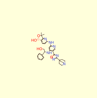 CC1(C)OB(O)c2ccc(Nc3cc(NC(CO)c4ccccc4)c(-c4nc(C56CCN(CC5)CC6)no4)cn3)nc21